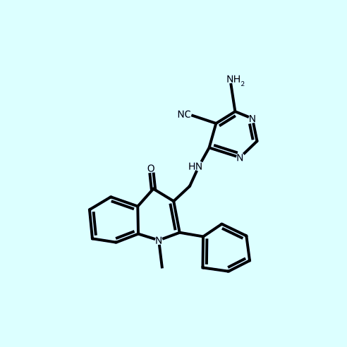 Cn1c(-c2ccccc2)c(CNc2ncnc(N)c2C#N)c(=O)c2ccccc21